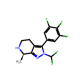 C[C@H]1NCCc2c1nn(C(F)F)c2-c1cc(F)c(F)c(F)c1